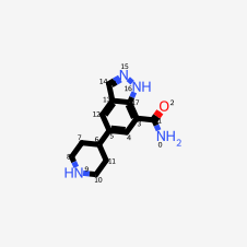 NC(=O)c1cc(C2CCNCC2)cc2cn[nH]c12